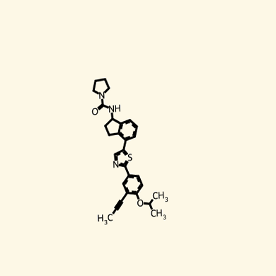 CC#Cc1cc(-c2ncc(-c3cccc4c3CCC4NC(=O)N3CCCC3)s2)ccc1OC(C)C